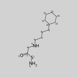 NSC(=O)CNCCCCC1CCCCC1